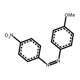 COc1ccc(/N=N\c2ccc([N+](=O)[O-])cc2)cc1